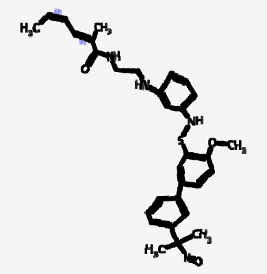 C/C=C\C=C(/C)C(=O)NCCNc1cccc(NSc2cc(-c3cccc(C(C)(C)N=O)c3)ccc2OC)c1